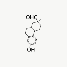 CC1(C=O)CCC2c3ccc(O)cc3CCC2C1